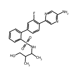 CC(CO)C(C)NS(=O)(=O)c1ccccc1-c1ccc(-c2cnc(N)cn2)c(F)c1